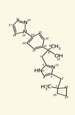 CC1(Cc2c[nH]c(CC(C)(O)c3ccc(-n4cccn4)cc3)n2)CCC1